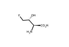 N[C@H](C(=O)O)[C@@H](O)CF